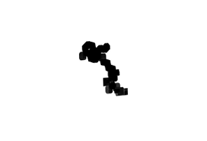 C=CCc1c(OCCCCC(C)(C)CNC(=O)OC(C)(C)C)ccc2c1CCCC2=O